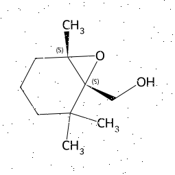 CC1(C)CCC[C@]2(C)O[C@]12CO